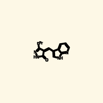 CCCC1=NNC(=O)C1=Cc1c[nH]c2ncccc12